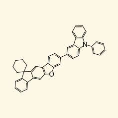 c1ccc(-n2c3ccccc3c3cc(-c4ccc5c(c4)oc4cc6c(cc45)C4(CCCCC4)c4ccccc4-6)ccc32)cc1